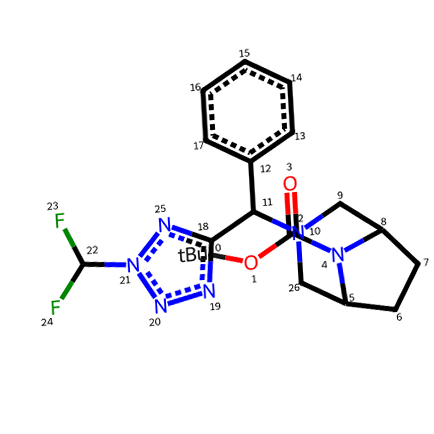 CC(C)(C)OC(=O)N1C2CCC1CN(C(c1ccccc1)c1nnn(C(F)F)n1)C2